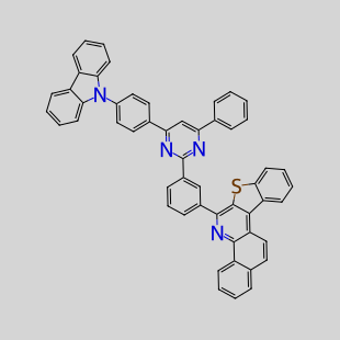 c1ccc(-c2cc(-c3ccc(-n4c5ccccc5c5ccccc54)cc3)nc(-c3cccc(-c4nc5c6ccccc6ccc5c5c4sc4ccccc45)c3)n2)cc1